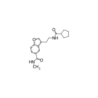 CNC(=O)c1ccc2occ(CCNC(=O)C3CCCC3)c2c1